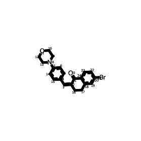 O=C1C(=Cc2ccc(N3CCOCC3)cc2)CCc2cc(Br)ccc21